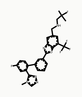 Cn1cnnc1-c1cc(F)ccc1-c1cccc(-c2nc3cc(CNCC(C)(C)F)cc(C(F)(F)F)c3o2)c1